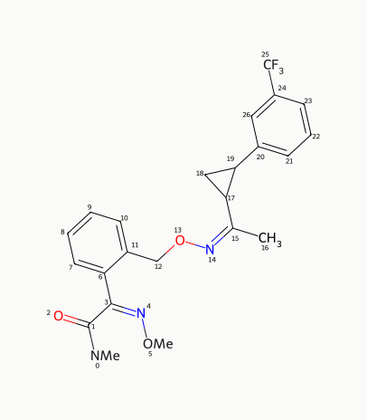 CNC(=O)C(=NOC)c1ccccc1CON=C(C)C1CC1c1cccc(C(F)(F)F)c1